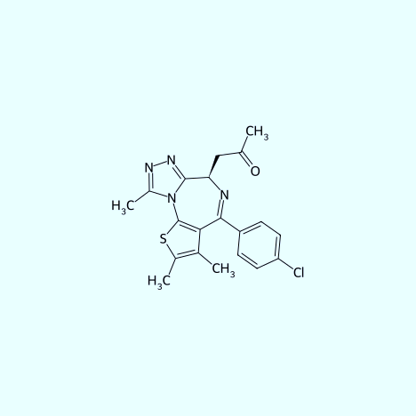 CC(=O)C[C@H]1N=C(c2ccc(Cl)cc2)c2c(sc(C)c2C)-n2c(C)nnc21